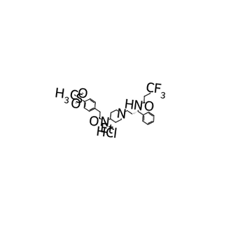 CCN(C(=O)Cc1ccc(S(C)(=O)=O)cc1)C1CCN(CC[C@H](NC(=O)CCC(F)(F)F)c2ccccc2)CC1.Cl